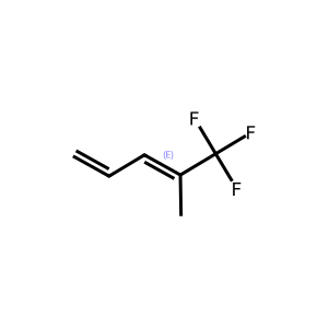 C=C/C=C(\C)C(F)(F)F